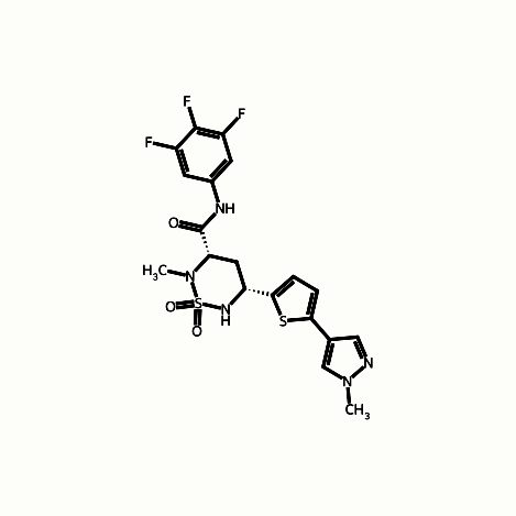 CN1[C@H](C(=O)Nc2cc(F)c(F)c(F)c2)C[C@H](c2ccc(-c3cnn(C)c3)s2)NS1(=O)=O